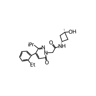 CCc1ccccc1-c1cc(=O)n(CC(=O)N[C@H]2C[C@](C)(O)C2)nc1C(C)C